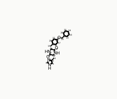 O=C1N[C@H](Cc2c[nH]cn2)C(=O)N[C@@H]1Cc1ccc(OCc2ccccc2)cc1